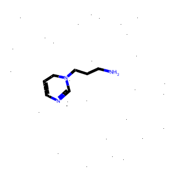 NCCCN1C=NC=CC1